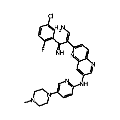 CN1CCN(c2ccc(Nc3cnc4ccc(/C(=C/N)C(=N)c5cc(Cl)ccc5F)nc4c3)nc2)CC1